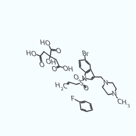 C=CCS(=O)(=O)n1cc(CN2CCN(C)CC2)c2cc(Br)ccc21.Fc1ccccc1.O=C(O)CC(O)(CC(=O)O)C(=O)O